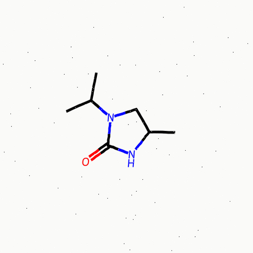 CC1CN(C(C)C)C(=O)N1